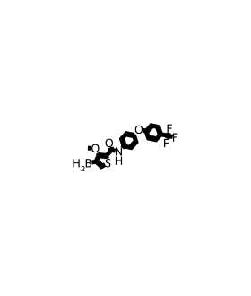 Bc1csc(C(=O)Nc2ccc(Oc3ccc(C(F)(F)F)cc3)cc2)c1OC